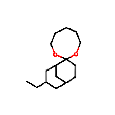 CCC1CC2CCC3(OCCCCCO3)C(C1)C2